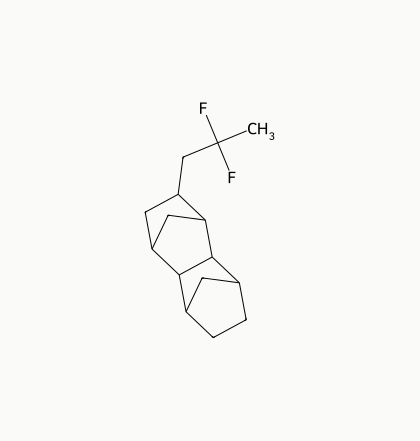 CC(F)(F)CC1CC2CC1C1C3CCC(C3)C21